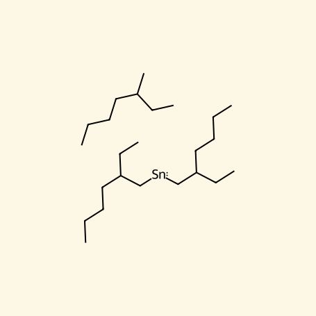 CCCCC(C)CC.CCCCC(CC)[CH2][Sn][CH2]C(CC)CCCC